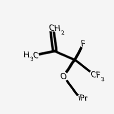 C=C(C)C(F)(OC(C)C)C(F)(F)F